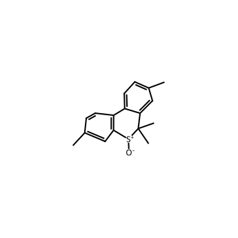 Cc1ccc2c(c1)[S+]([O-])C(C)(C)c1cc(C)ccc1-2